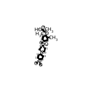 Cc1cc(S(=O)(=O)N2CCN(c3ccc([N+](=O)[O-])cc3)CC2)ccc1OC(C)(C)C(=O)O